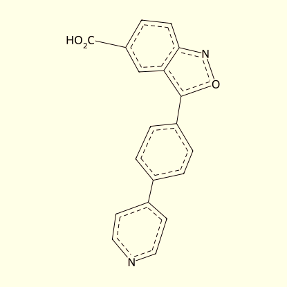 O=C(O)c1ccc2noc(-c3ccc(-c4ccncc4)cc3)c2c1